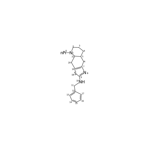 CCCN1CCCC2Cc3nc(NCc4ccccc4)sc3CC21